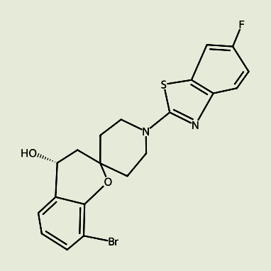 O[C@@H]1CC2(CCN(c3nc4ccc(F)cc4s3)CC2)Oc2c(Br)cccc21